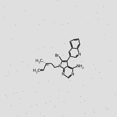 C=C[C@H](C)CCn1c(Br)c(-c2cnc3ccccc3c2)c2c(N)ncnc21